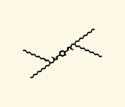 CCCCCCCCCCCCC(CCCCCCCCCC)Cc1cc(-c2cc(F)c(-c3cc(CC(CCCCCCCCCC)CCCCCCCCCCCC)c(Br)s3)cc2F)sc1Br